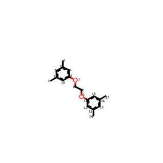 Cc1cc(C)cc(OCCOc2cc(C)cc(C)c2)c1